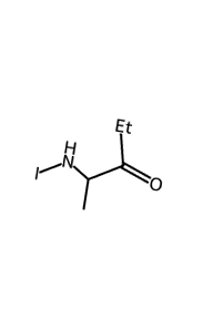 CCC(=O)C(C)NI